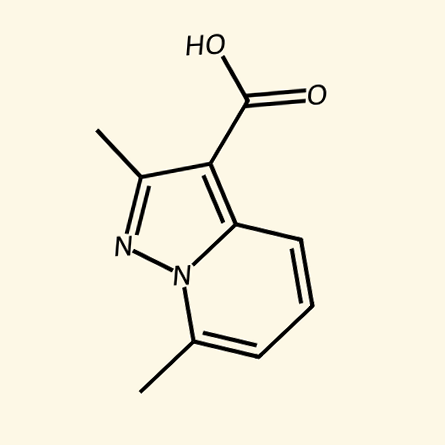 Cc1nn2c(C)cccc2c1C(=O)O